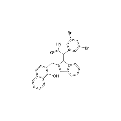 O=C1Nc2c(Br)cc(Br)cc2C1C1C(Cc2ccc3ccccc3c2O)=Cc2ccccc21